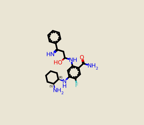 N=C(CC(O)Nc1cc(N[C@@H]2CCCC[C@@H]2N)c(F)cc1C(N)=O)c1ccccc1